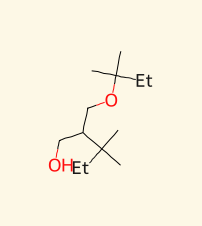 CCC(C)(C)OCC(CO)C(C)(C)CC